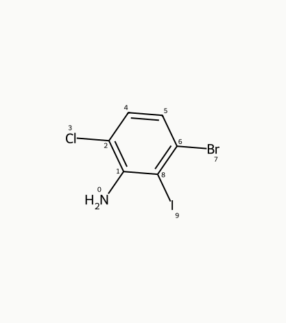 Nc1c(Cl)ccc(Br)c1I